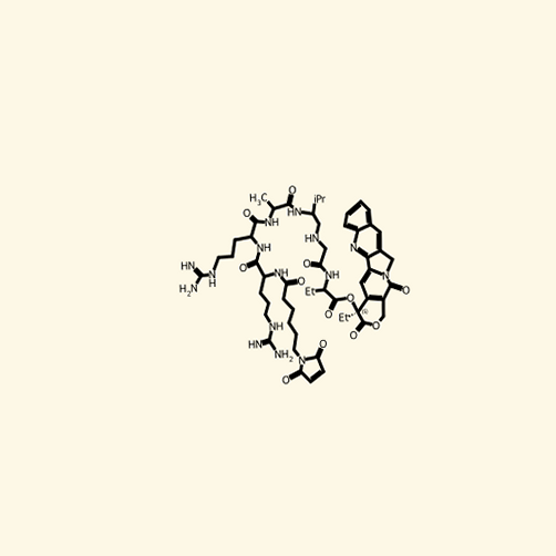 CCC(NC(=O)CNCC(NC(=O)C(C)NC(=O)C(CCCNC(=N)N)NC(=O)C(CCCNC(=N)N)NC(=O)CCCCCN1C(=O)C=CC1=O)C(C)C)C(=O)O[C@]1(CC)C(=O)OCc2c1cc1n(c2=O)Cc2cc3ccccc3nc2-1